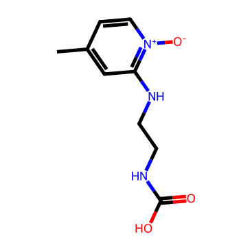 Cc1cc[n+]([O-])c(NCCNC(=O)O)c1